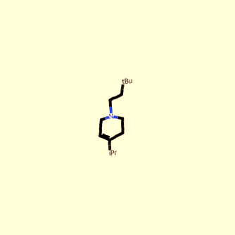 CC(C)C1=CCN(CCC(C)(C)C)CC1